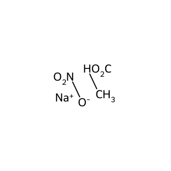 CC(=O)O.O=[N+]([O-])[O-].[Na+]